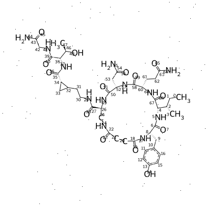 CC[C@H](C)[C@@H]1NC(=O)[C@H](Cc2ccc(O)cc2)NC(=O)CCC(=O)NC[C@@H](C(=O)NCCC2C[C@@H]2C(=O)N[C@H](C(=O)NCC(N)=O)[C@@H](C)O)NC(=O)[C@H](CC(N)=O)NC(=O)[C@H](CCC(N)=O)NC1=O